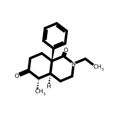 CCN1CC[C@H]2[C@H](C)C(=O)CC[C@]2(c2ccccc2)C1=O